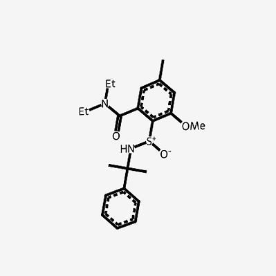 CCN(CC)C(=O)c1cc(C)cc(OC)c1[S+]([O-])NC(C)(C)c1ccccc1